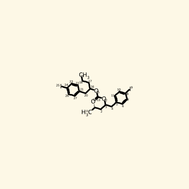 CCCC(Cc1ccc(I)cc1)OC(=O)OC(CCC)Cc1ccc(I)cc1